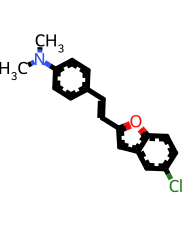 CN(C)c1ccc(C=Cc2cc3cc(Cl)ccc3o2)cc1